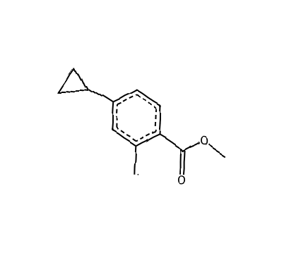 [CH2]c1cc(C2CC2)ccc1C(=O)OC